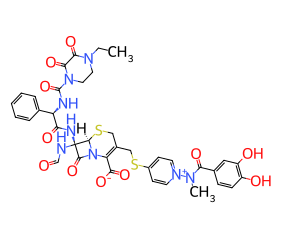 CCN1CCN(C(=O)N[C@@H](C(=O)N[C@]2(NC=O)C(=O)N3C(C(=O)[O-])=C(CSc4cc[n+](N(C)C(=O)c5ccc(O)c(O)c5)cc4)CS[C@@H]32)c2ccccc2)C(=O)C1=O